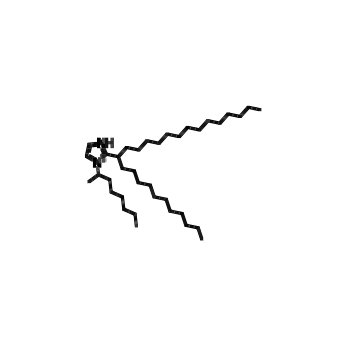 CCCCCCCCCCCCCCC(CCCCCCCCCCC)c1[nH]cc[n+]1C(C)CCCCCC